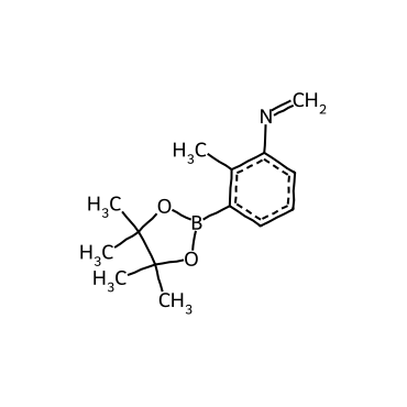 C=Nc1cccc(B2OC(C)(C)C(C)(C)O2)c1C